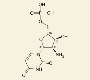 N[C@@H]1[C@H](O)[C@@H](COP(=O)(O)O)O[C@H]1n1ccc(=O)[nH]c1=O